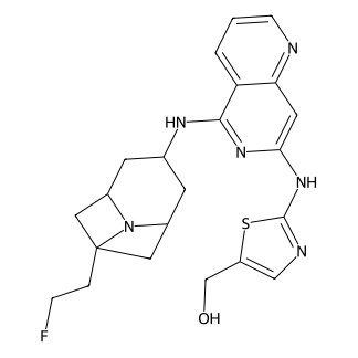 OCc1cnc(Nc2cc3ncccc3c(NC3CC4CC5(CCF)CC(C3)N45)n2)s1